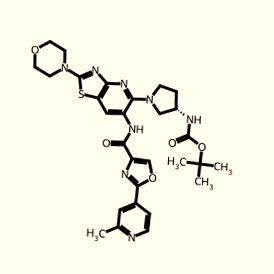 Cc1cc(-c2nc(C(=O)Nc3cc4sc(N5CCOCC5)nc4nc3N3CC[C@H](NC(=O)OC(C)(C)C)C3)co2)ccn1